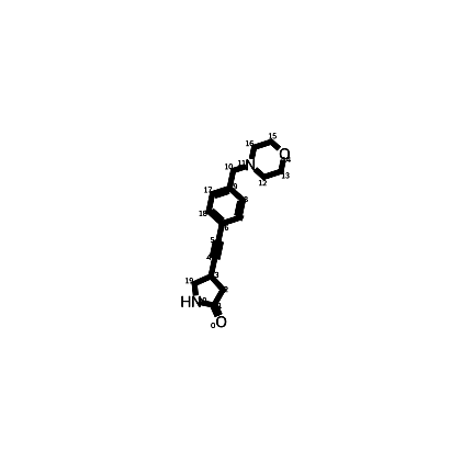 O=C1CC(C#Cc2ccc(CN3CCOCC3)cc2)CN1